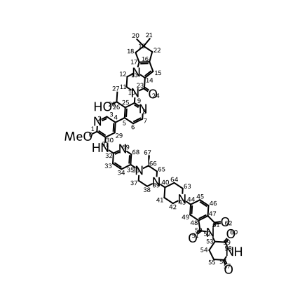 COc1ncc(-c2ccnc(N3CCn4c(cc5c4CC(C)(C)C5)C3=O)c2C(C)O)cc1Nc1ccc(N2CCN(C3CCN(c4ccc5c(c4)C(=O)N(C4CCC(=O)NC4=O)C5=O)CC3)C[C@@H]2C)cn1